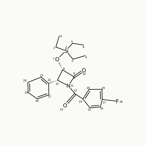 CC[Si](CC)(CC)O[C@@H]1C(=O)N(C(=O)c2ccc(F)cc2)[C@@H]1c1ccccc1